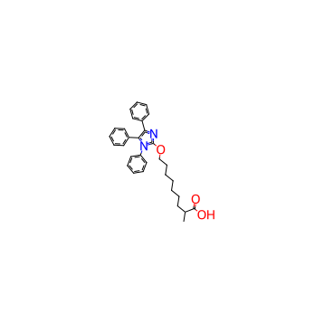 CC(CCCCCCCOc1nc(-c2ccccc2)c(-c2ccccc2)n1-c1ccccc1)C(=O)O